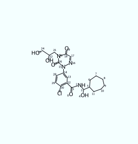 O=C(NC(O)C1CCCCCC1)c1cc(-n2ncc(=O)n(CC(O)CO)c2=O)ccc1Cl